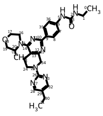 CCNC(=O)Nc1ccc(-c2nc3c(c(N4CCOC[C@@H]4C)n2)CCN(c2ncc(CC)cn2)C3)cc1